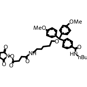 CCCCNC(=O)c1ccc(C(OCCCCCCNC(=O)CCC(=O)ON2C(=O)CCC2=O)(c2ccc(OC)cc2)c2ccc(OC)cc2)cc1